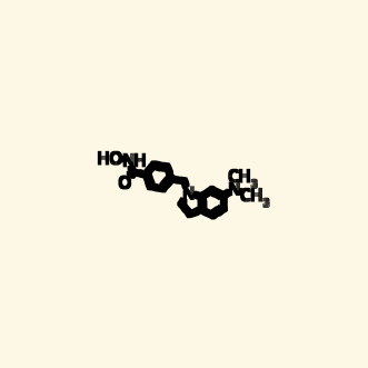 CN(C)c1ccc2c(c1)N(Cc1ccc(C(=O)NO)cc1)CC2